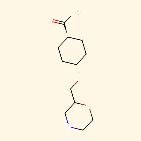 COC(=O)[C@H]1CC[C@H](OCC2CNCCO2)CC1